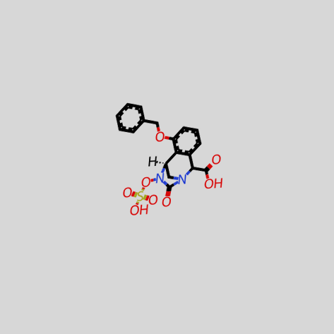 O=C(O)C1c2cccc(OCc3ccccc3)c2[C@H]2CN1C(=O)N2OS(=O)(=O)O